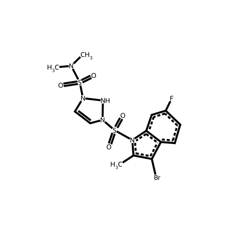 Cc1c(Br)c2ccc(F)cc2n1S(=O)(=O)N1C=CN(S(=O)(=O)N(C)C)N1